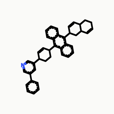 C1=CC2CC(c3c4ccccc4c(C4C=CC(c5cncc(-c6ccccc6)c5)CC4)c4ccccc34)C=CC2CC1